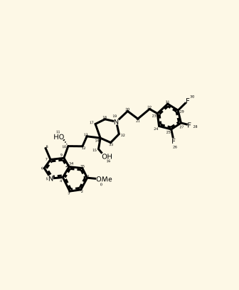 COc1ccc2ncc(C)c([C@H](O)CCC3(CO)CCN(CCCc4cc(F)c(F)c(F)c4)CC3)c2c1